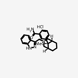 CO[C@]1(c2cccc(C(N)=O)c2)[C@@H]2CCC[C@H]1CN(Cc1n[nH]c3ccccc13)C2.Cl